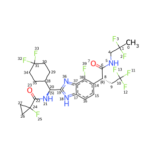 CC(F)(F)CNC(=O)[C@H](CC(F)(F)F)c1ccc2[nH]c([C@@H](NC(=O)C3(F)CC3)C3CCC(F)(F)CC3)nc2c1F